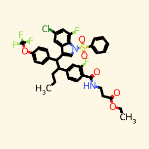 CCCC(c1ccc(C(=O)NCCC(=O)OCC)c(F)c1)C(c1ccc(OC(F)(F)F)cc1)c1cn(S(=O)(=O)c2ccccc2)c2c(F)cc(Cl)cc12